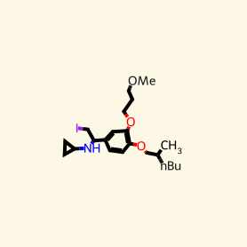 CCCCC(C)COc1ccc(C(CI)NC2CC2)cc1OCCCOC